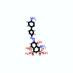 Nc1ccc(-c2ccc(/N=N/c3cc(O)c4c(S(=O)(=O)O)cc(S(=O)(=O)O)c(N)c4c3O)cc2)cc1